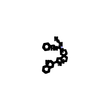 N#C/N=C(\NCc1ccccc1)N1CCC2(CCn3nc(-c4cnc5ccccc5c4)cc32)C1